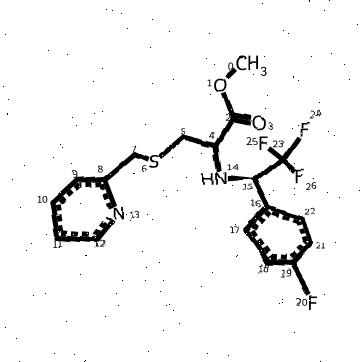 COC(=O)C(CSCc1ccccn1)N[C@H](c1ccc(F)cc1)C(F)(F)F